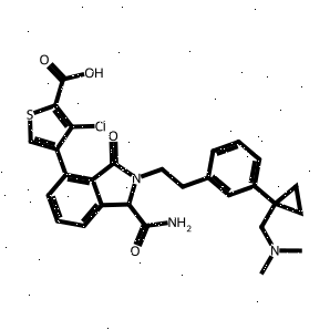 CN(C)CC1(c2cccc(CCN3C(=O)c4c(-c5csc(C(=O)O)c5Cl)cccc4C3C(N)=O)c2)CC1